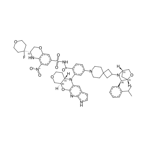 CC(C)c1ccccc1[C@@H]1[C@@H]2C[C@@H](CO2)N1C1CC2(CCN(c3ccc(C(=O)NS(=O)(=O)c4cc5c(c([N+](=O)[O-])c4)N[C@H](C4(F)CCOCC4)CO5)c(N4c5cc6cc[nH]c6nc5O[C@H]5COCC[C@@H]54)c3)CC2)C1